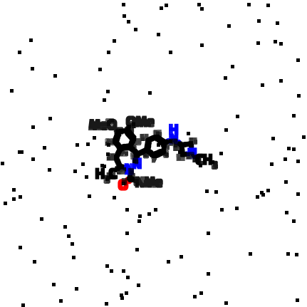 CNC(=O)N1N=C(c2ccc(NC3CN(C)C3)cc2)c2cc(OC)c(OC)cc2CC1C